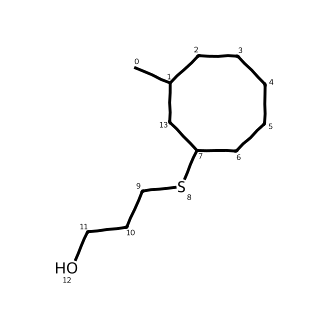 CC1CCCCCC(SCCCO)C1